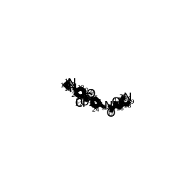 O=C(NCc1ccc(S(=O)(=O)c2ccc(-n3cccn3)cc2Cl)cc1)c1cc2ccncc2o1